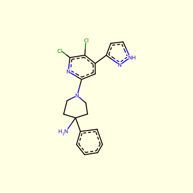 NC1(c2ccccc2)CCN(c2cc(-c3cc[nH]n3)c(Cl)c(Cl)n2)CC1